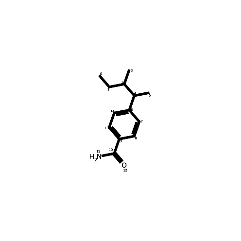 CCC(C)C(C)c1ccc(C(N)=O)cc1